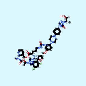 CC[C@@H]([C@H](C)O)n1ncn(-c2ccc(N3CCN(c4ccc(OC[C@@H]5CO[C@@](Cn6c[n+](C(C)OC(=O)N(C)c7ncccc7COC(=O)[C@@H](N)CCCNC(N)=O)cn6)(c6ccc(F)cc6F)C5)cc4)CC3)cc2)c1=O